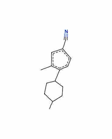 Cc1cc(C#N)ccc1C1CCC(C)CC1